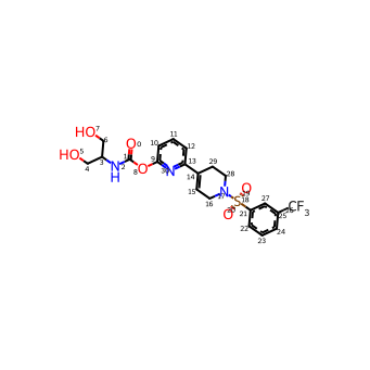 O=C(NC(CO)CO)Oc1cccc(C2=CCN(S(=O)(=O)c3cccc(C(F)(F)F)c3)CC2)n1